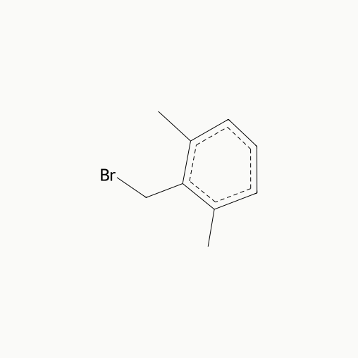 Cc1cccc(C)c1CBr